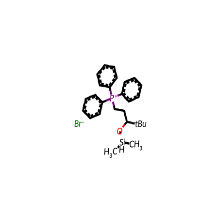 C[SiH](C)OC(CC[P+](c1ccccc1)(c1ccccc1)c1ccccc1)C(C)(C)C.[Br-]